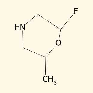 CC1CNCC(F)O1